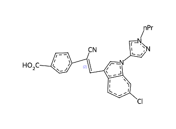 CCCn1cc(-n2cc(/C=C(\C#N)c3ccc(C(=O)O)cc3)c3ccc(Cl)cc32)cn1